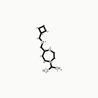 CC(C)N1CCOC(COCC2CCC2)CC1